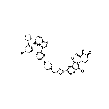 N=C(/C=C\c1ncc(-c2cccc(N3CCN(CC4CN(c5ccc6c(c5)C(=O)N(C5CCC(=O)NC5=O)C6=O)C4)CC3)n2)[nH]1)N1CCC[C@@H]1c1cccc(F)c1